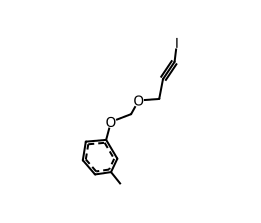 Cc1cccc(OCOCC#CI)c1